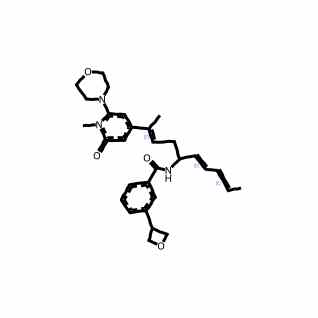 C/C=C/C=C/C(C/C=C(\C)c1cc(N2CCOCC2)n(C)c(=O)c1)NC(=O)c1cccc(C2COC2)c1